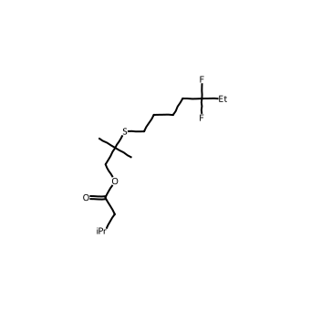 CCC(F)(F)CCCCSC(C)(C)COC(=O)CC(C)C